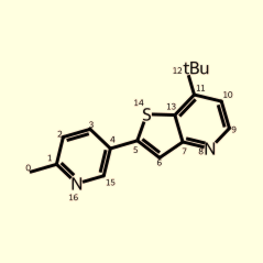 Cc1ccc(-c2cc3nccc(C(C)(C)C)c3s2)cn1